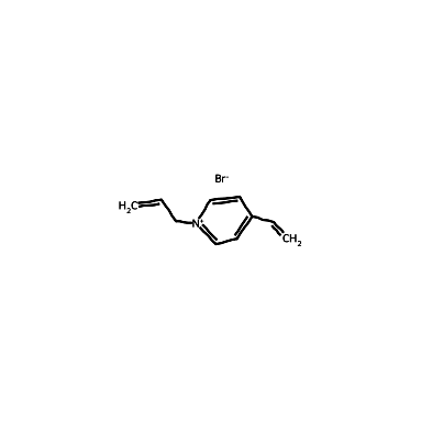 C=CC[n+]1ccc(C=C)cc1.[Br-]